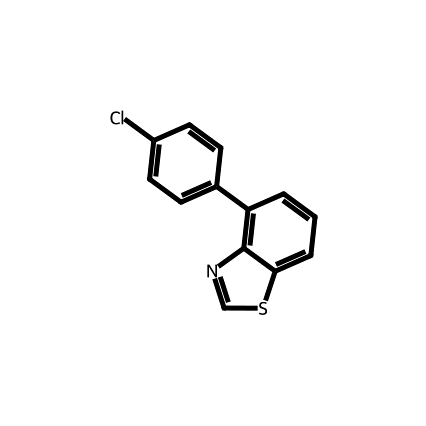 Clc1ccc(-c2cccc3scnc23)cc1